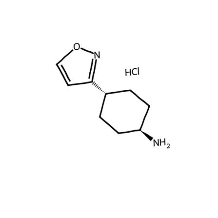 Cl.N[C@H]1CC[C@H](c2ccon2)CC1